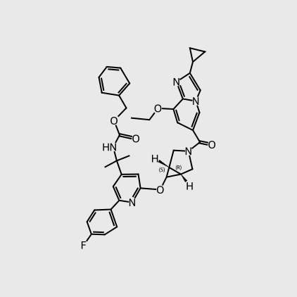 CCOc1cc(C(=O)N2C[C@@H]3C(Oc4cc(C(C)(C)NC(=O)OCc5ccccc5)cc(-c5ccc(F)cc5)n4)[C@@H]3C2)cn2cc(C3CC3)nc12